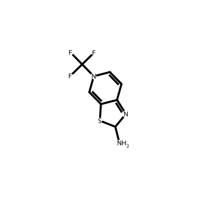 NC1N=C2C=CN(C(F)(F)F)C=C2S1